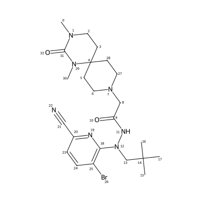 CN1CCC2(CCN(CC(=O)NN(CC(C)(C)C)c3nc(C#N)ccc3Br)CC2)N(C)C1=O